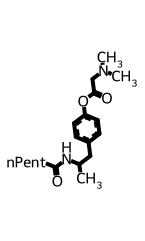 CCCCCC(=O)NC(C)Cc1ccc(OC(=O)CN(C)C)cc1